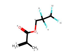 C=C(C)C(=O)OCC(F)(F)C(F)F